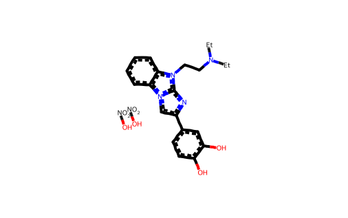 CCN(CC)CCn1c2ccccc2n2cc(-c3ccc(O)c(O)c3)nc12.O=[N+]([O-])O.O=[N+]([O-])O